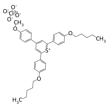 CCCCCOc1ccc(-c2cc(-c3ccc(OC)cc3)cc(-c3ccc(OCCCCC)cc3)[s+]2)cc1.[O-][Cl+3]([O-])([O-])[O-]